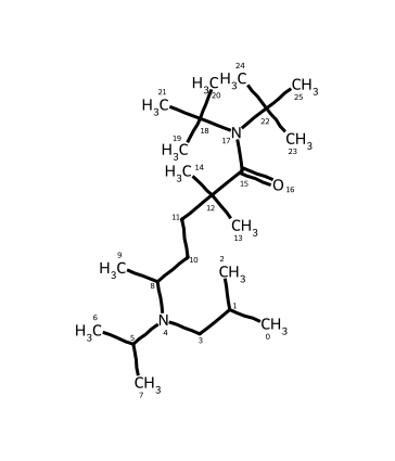 CC(C)CN(C(C)C)C(C)CCC(C)(C)C(=O)N(C(C)(C)C)C(C)(C)C